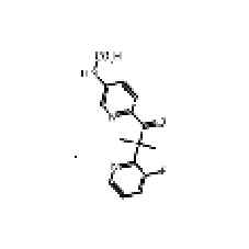 CC(C)(C(=O)c1ccc(NC(=O)O)cn1)c1ncccc1F